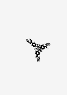 CCC(N=C=O)C1CCC(n2c(=O)n(C3CCC(C(C)N=C=O)CC3)c(=O)n(C3CCC(C(C)N=C=O)CC3)c2=O)CC1